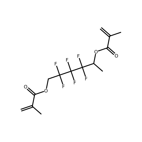 C=C(C)C(=O)OCC(F)(F)C(F)(F)C(F)(F)C(C)OC(=O)C(=C)C